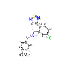 COc1ccc(CNCc2cc(Cl)ccc2-c2cnsn2)cc1